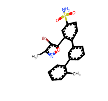 Cc1ccccc1-c1cccc(-c2ccc(S(N)(=O)=O)cc2-c2onc(C)c2Br)c1